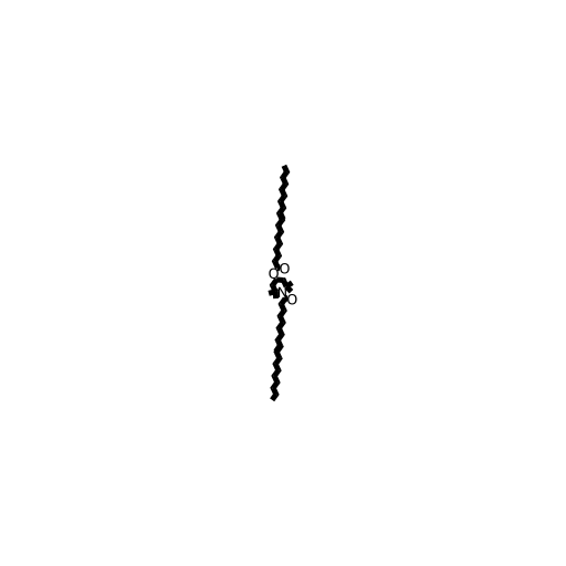 CCCCCCCCC=CCCCCCCCC(=O)OC1CC(C)(C)N(C(=O)CCCCCCCC=CCCCCCCCC)C(C)(C)C1